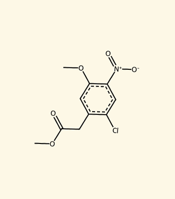 COC(=O)Cc1cc(OC)c([N+](=O)[O-])cc1Cl